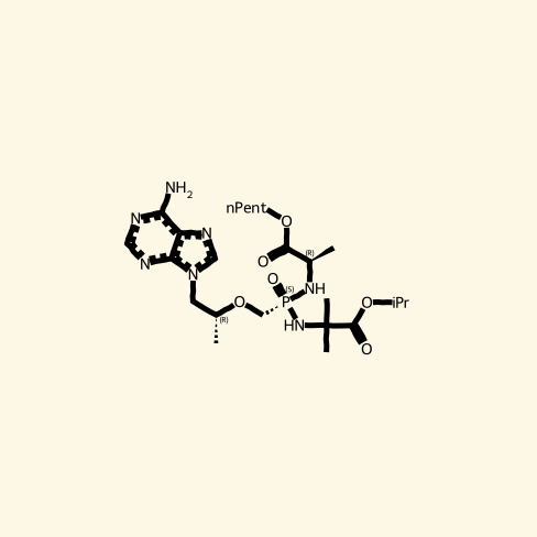 CCCCCOC(=O)[C@@H](C)N[P@@](=O)(CO[C@H](C)Cn1cnc2c(N)ncnc21)NC(C)(C)C(=O)OC(C)C